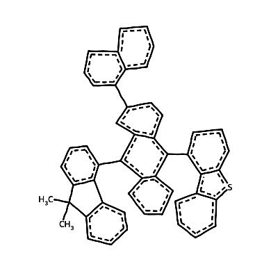 CC1(C)c2ccccc2-c2c(-c3c4ccccc4c(-c4cccc5sc6ccccc6c45)c4ccc(-c5cccc6ccccc56)cc34)cccc21